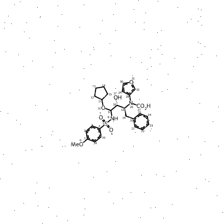 COc1ccc(S(=O)(=O)NC(OC2CCCC2)[C@H](O)[C@H](Cc2ccccc2)N(C(=O)O)c2ccoc2)cc1